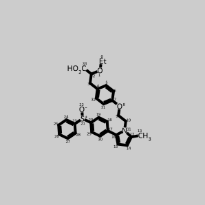 CCOC(Cc1ccc(OCCn2c(C)ccc2-c2ccc([S+]([O-])c3ccccc3)cc2)cc1)C(=O)O